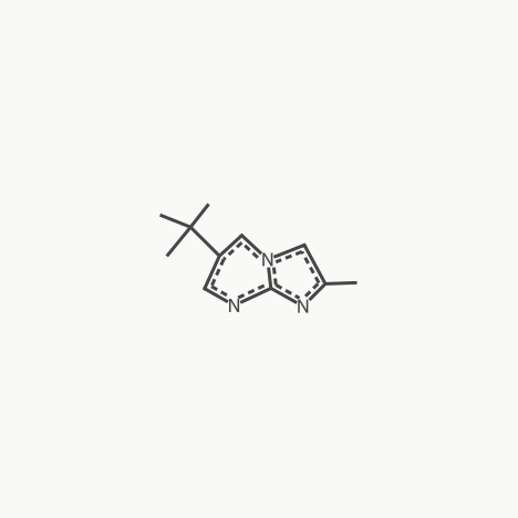 Cc1cn2cc(C(C)(C)C)cnc2n1